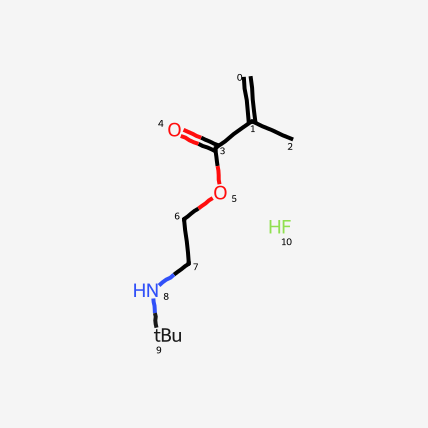 C=C(C)C(=O)OCCNC(C)(C)C.F